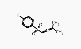 CC(C)=C=CS(=O)(=O)c1ccc(F)cc1